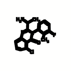 Cc1c(F)cccc1-n1c(C(C)N)nc2cccc(Cl)c2c1=O